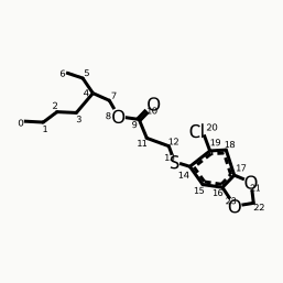 CCCCC(CC)COC(=O)CCSc1cc2c(cc1Cl)OCO2